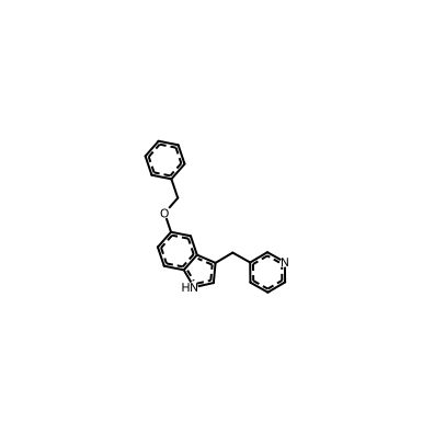 c1ccc(COc2ccc3[nH]cc(Cc4cccnc4)c3c2)cc1